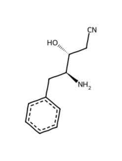 N#CC[C@@H](O)[C@@H](N)Cc1ccccc1